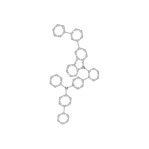 c1ccc(-c2ccc(N(c3ccccc3)c3ccc(-c4ccccc4-n4c5ccccc5c5cc(-c6cccc(-c7ccccc7)c6)ccc54)cc3)cc2)cc1